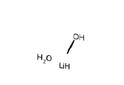 CO.O.[LiH]